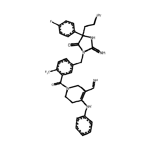 CC(C)CCC1(c2ccc(F)cc2)NC(=N)N(Cc2ccc(C(F)(F)F)c(C(=O)N3CCC(Nc4ccccc4)=C(C=N)C3)c2)C1=O